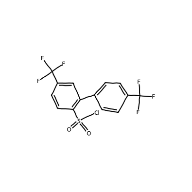 O=S(=O)(Cl)c1ccc(C(F)(F)F)cc1-c1ccc(C(F)(F)F)cc1